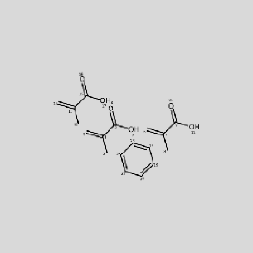 C=C(C)C(=O)O.C=C(C)C(=O)O.C=C(C)C(=O)O.c1ccccc1